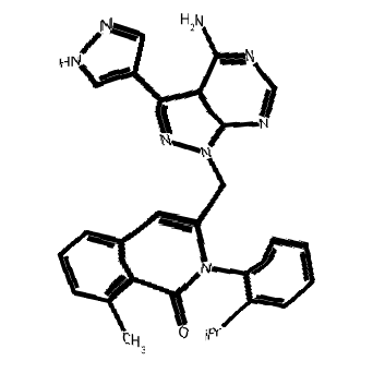 Cc1cccc2cc(CN3N=C(c4cn[nH]c4)C4C(N)=NC=NC43)n(-c3ccccc3C(C)C)c(=O)c12